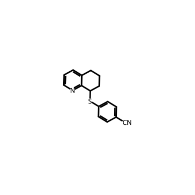 N#Cc1ccc(SC2CCCc3cccnc32)cc1